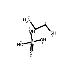 NCCS.OP(O)(O)=S